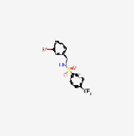 O=S(=O)(NCc1cccc(Br)c1)c1ccc(C(F)(F)F)cc1